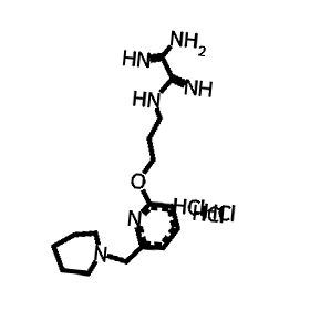 Cl.Cl.Cl.N=C(N)C(=N)NCCCOc1cccc(CN2CCCCC2)n1